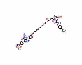 CCS(=O)(=O)Nc1ccc(-c2n[nH]c(Nc3ccnc(OCCCCCCCCCCCCCC(=O)CC[C@H](C(=O)N4C[C@H](O)C[C@H]4C(=O)NCc4ccc(-c5scnc5C)cc4)C(C)(C)C)c3)c2C(N)=O)cc1